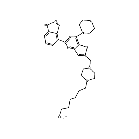 CCOC(=O)CCCCCCN1CCN(Cc2cc3nc(-c4cccc5[nH]ncc45)nc(N4CCOCC4)c3s2)CC1